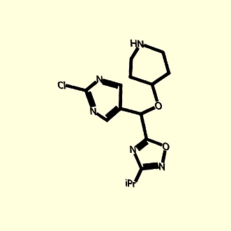 CC(C)c1noc(C(OC2CCNCC2)c2cnc(Cl)nc2)n1